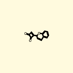 O=c1cc(C2C=Cc3ccccc3O2)c1=O